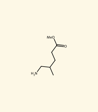 COC(=O)CCC(C)CN